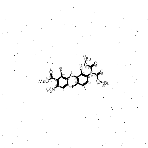 COC(=O)c1c([N+](=O)[O-])ccc(Oc2c(F)ccc(N(C(=O)OC(C)(C)C)C(=O)OC(C)(C)C)c2Cl)c1F